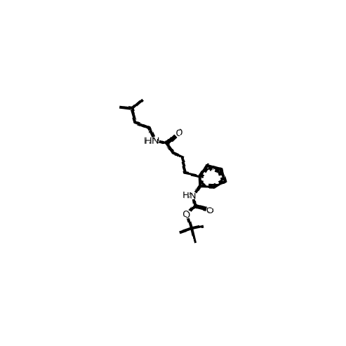 CC(C)CCNC(=O)CCCc1ccccc1NC(=O)OC(C)(C)C